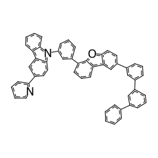 c1ccc(-c2cccc(-c3cccc(-c4ccc5oc6c(-c7cccc(-n8c9ccccc9c9cc(-c%10ccccn%10)ccc98)c7)cccc6c5c4)c3)c2)cc1